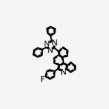 Fc1ccc(-c2nc3ccccc3c3c2ccc2c(-c4nc(-c5ccccc5)nc(-c5ccccc5)n4)cccc23)cc1